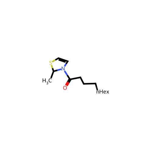 CCCCCCCCCC(=O)N1C=CSC1C